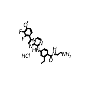 CCc1cc(Nc2nccn3c(-c4ccc(OC)c(F)c4F)cnc23)ccc1C(=O)NCCN.Cl